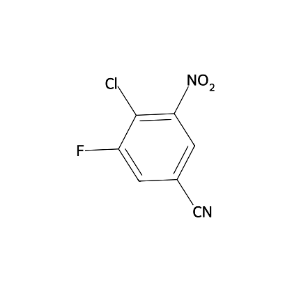 N#Cc1cc(F)c(Cl)c([N+](=O)[O-])c1